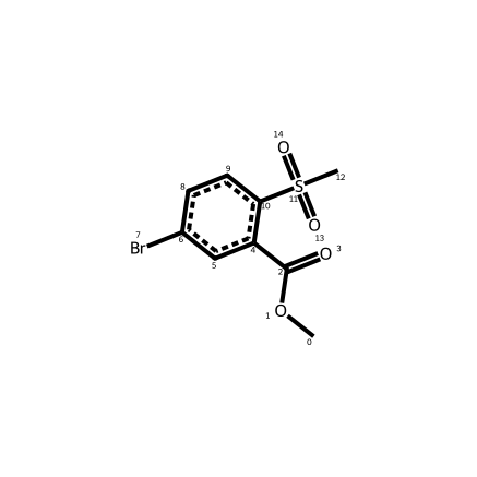 COC(=O)c1cc(Br)ccc1S(C)(=O)=O